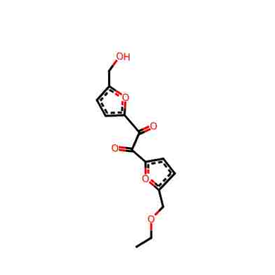 CCOCc1ccc(C(=O)C(=O)c2ccc(CO)o2)o1